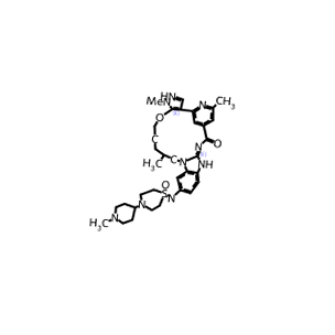 CN/C1=C(\C=N)c2cc(cc(C)n2)C(=O)/N=C2\Nc3ccc(N=S4(=O)CCN(C5CCN(C)CC5)CC4)cc3N2CC(C)CCCO1